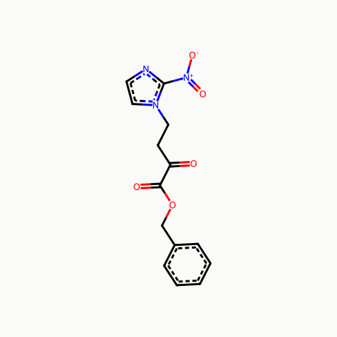 O=C(CCn1ccnc1[N+](=O)[O-])C(=O)OCc1ccccc1